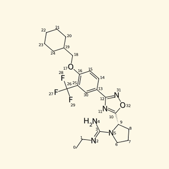 CC/N=C(\N)N1CCC[C@H]1c1nc(-c2ccc(OCC3CCCCC3)c(C(F)(F)F)c2)no1